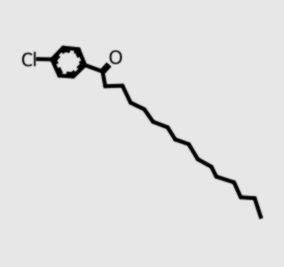 CCCCCCCCCCCCCCCC(=O)c1ccc(Cl)cc1